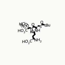 CC(C)(C)C(=O)SC[C@H](NC(=O)CC[C@H](N)C(=O)O)C(=O)NCC(=O)O.Cl.O.O